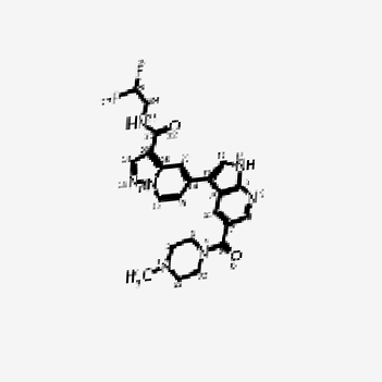 CN1CCN(C(=O)c2cnc3[nH]cc(-c4ccn5ncc(C(=O)NCC(F)F)c5c4)c3c2)CC1